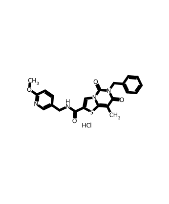 COc1ccc(CNC(=O)c2cn3c(=O)n(Cc4ccccc4)c(=O)c(C)c3s2)cn1.Cl